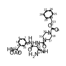 CC(=O)ONC(=O)c1cccc(NC(=O)C(NC(=O)N2CCN(C(=O)OCc3ccccc3)CC2)C(=N)N)c1